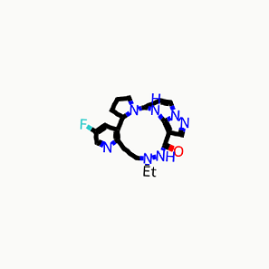 CCN1CCc2ncc(F)cc2C2CCCN2C2C=Cn3ncc(c3N2)C(=O)N1